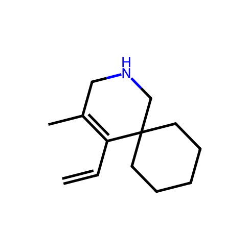 C=CC1=C(C)CNCC12CCCCC2